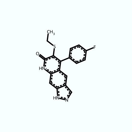 CCSc1c(-c2ccc(F)cc2)c2cc3cn[nH]c3cc2[nH]c1=O